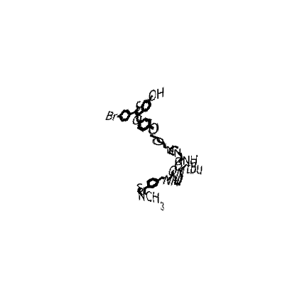 Cc1ncsc1-c1ccc(CNC(=O)[C@@H]2CCCN2C(=O)C(NC(=O)CN2CCN(CCOCCOc3ccc(Oc4c(-c5ccc(Br)cc5)sc5cc(O)ccc45)cc3)CC2)C(C)(C)C)cc1